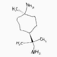 CC(C)(N)[C@H]1CC[C@@](C)(N)CC1